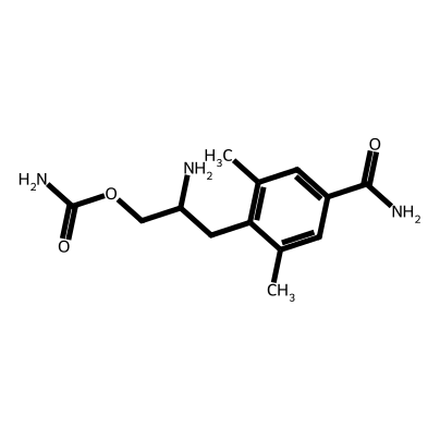 Cc1cc(C(N)=O)cc(C)c1CC(N)COC(N)=O